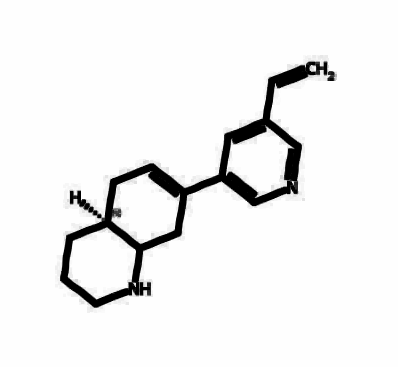 C=Cc1cncc(C2=CC[C@@H]3CCCNC3C2)c1